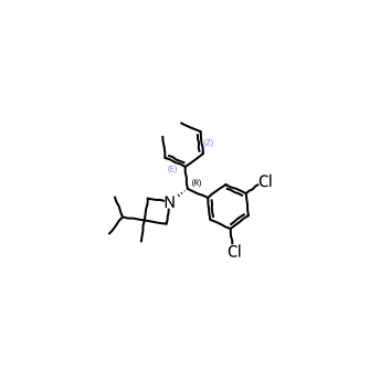 C/C=C\C(=C/C)[C@H](c1cc(Cl)cc(Cl)c1)N1CC(C)(C(C)C)C1